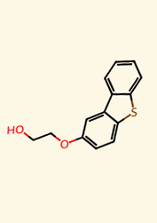 OCCOc1ccc2sc3ccccc3c2c1